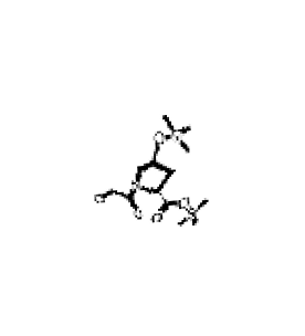 C[Si](C)(C)OC(=O)[C@H]1C[C@H](O[Si](C)(C)C)CN1C(=O)CCl